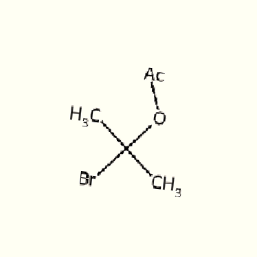 CC(=O)OC(C)(C)Br